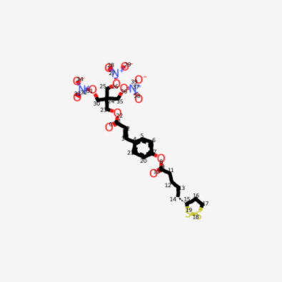 O=C(/C=C/c1ccc(OC(=O)CCCC[C@@H]2CCSS2)cc1)OCC(CO[N+](=O)[O-])(CO[N+](=O)[O-])CO[N+](=O)[O-]